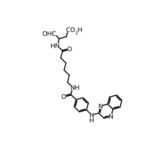 O=CC(CC(=O)O)NC(=O)CCCCCNC(=O)c1ccc(Nc2cnc3ccccc3n2)cc1